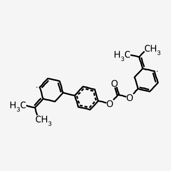 CC(C)=C1[C]=CC=C(OC(=O)Oc2ccc(C3=CC=[C]C(=C(C)C)C3)cc2)C1